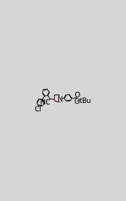 CC(C)(C)OC(=O)c1ccc(N2CCC([C@H](C#N)c3ccccc3-c3ccc(Cl)cc3)CC2)cc1